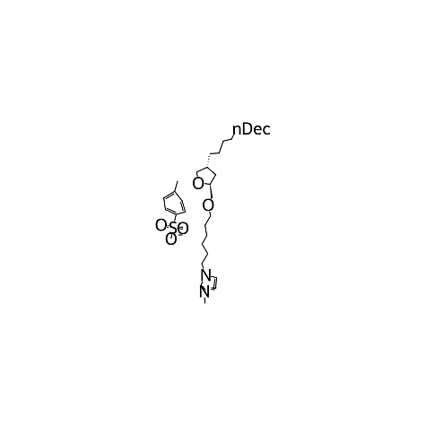 CCCCCCCCCCCCCC[C@H]1CO[C@H](COCCCCCCn2cc[n+](C)c2)C1.Cc1ccc(S(=O)(=O)[O-])cc1